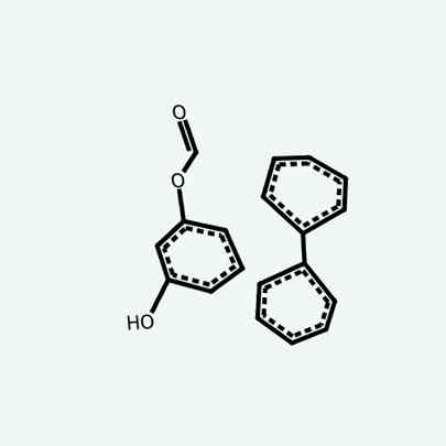 O=COc1cccc(O)c1.c1ccc(-c2ccccc2)cc1